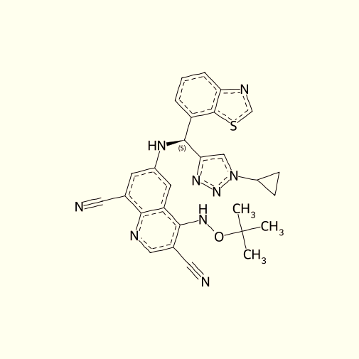 CC(C)(C)ONc1c(C#N)cnc2c(C#N)cc(N[C@H](c3cn(C4CC4)nn3)c3cccc4ncsc34)cc12